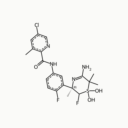 Cc1cc(Cl)cnc1C(=O)Nc1ccc(F)c([C@@]2(C)N=C(N)C(C)(C)S(O)(O)C2F)c1